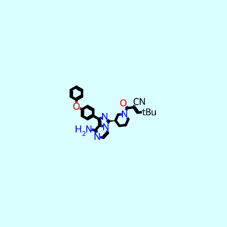 CC(C)(C)C=C(C#N)C(=O)N1CCC[C@@H](c2nc(-c3ccc(Oc4ccccc4)cc3)c3c(N)nccn23)C1